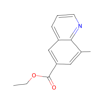 CCOC(=O)c1cc(C)c2ncccc2c1